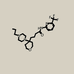 CCCN1CCN(C2(CCCC(=O)Nc3cccc(C(F)(F)F)n3)CCOCC2)CC1